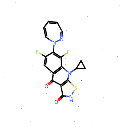 O=c1[nH]sc2c1c(=O)c1cc(F)c(N3C=CC=CC=N3)c(F)c1n2C1CC1